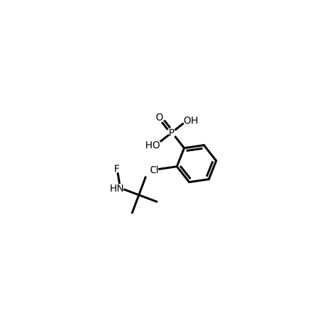 CC(C)(C)NF.O=P(O)(O)c1ccccc1Cl